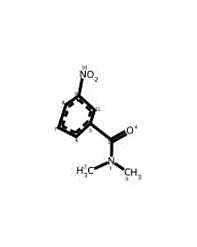 CN(C)C(=O)c1cccc([N+](=O)[O-])c1